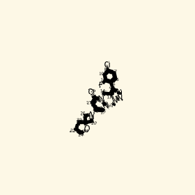 Cn1nnc(-c2ccc(Cl)cc2F)c1Cn1ncc(N2CC3(CCCO3)C2)cc1=O